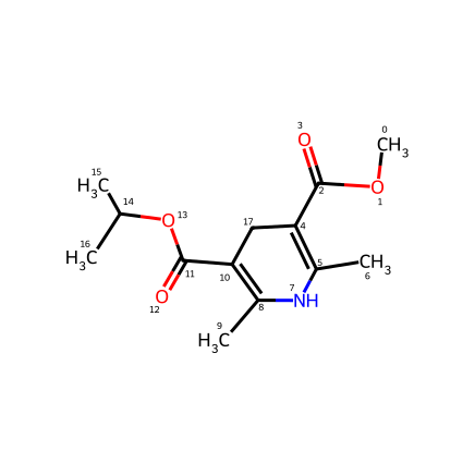 COC(=O)C1=C(C)NC(C)=C(C(=O)OC(C)C)C1